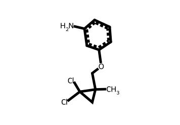 CC1(COc2cccc(N)c2)CC1(Cl)Cl